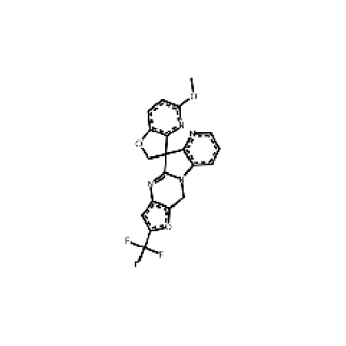 COc1ccc2c(n1)C1(CO2)C2=Nc3cc(C(F)(F)F)oc3CN2c2cccnc21